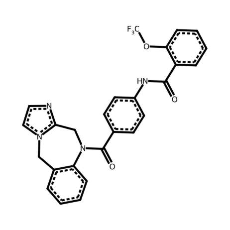 O=C(Nc1ccc(C(=O)N2Cc3nccn3Cc3ccccc32)cc1)c1ccccc1OC(F)(F)F